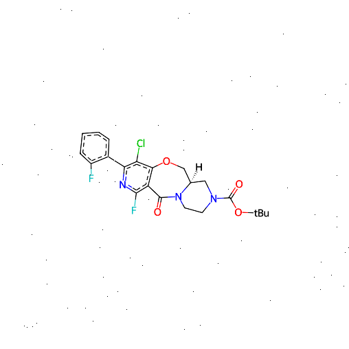 CC(C)(C)OC(=O)N1CCN2C(=O)c3c(F)nc(-c4ccccc4F)c(Cl)c3OC[C@H]2C1